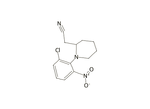 N#CCC1CCCCN1c1c(Cl)cccc1[N+](=O)[O-]